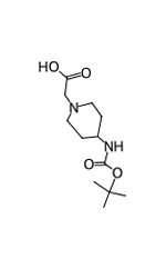 CC(C)(C)OC(=O)NC1CCN(CC(=O)O)CC1